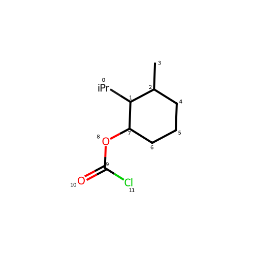 CC(C)C1C(C)CCCC1OC(=O)Cl